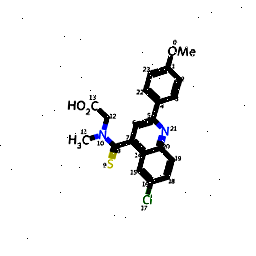 COc1ccc(-c2cc(C(=S)N(C)CC(=O)O)c3cc(Cl)ccc3n2)cc1